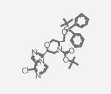 CC(C)(C)OC(=O)N1C[C@@H](c2ncc3c(Cl)nccn23)OC[C@H]1CO[Si](c1ccccc1)(c1ccccc1)C(C)(C)C